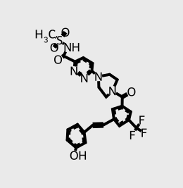 CS(=O)(=O)NC(=O)c1ccc(N2CCN(C(=O)c3cc(C#Cc4cccc(O)c4)cc(C(F)(F)F)c3)CC2)nn1